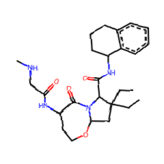 CCC1(CC)CC2OCCC(NC(=O)CNC)C(=O)N2C1C(=O)NC1CCCc2ccccc21